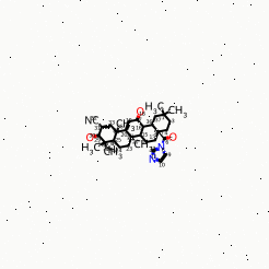 CC1(C)CC[C@]2(C(=O)n3ccnc3)CCC3C(C(=O)C=C4[C@@]3(C)CC[C@H]3C(C)(C)C(=O)C(C#N)=C[C@]43C)C2C1